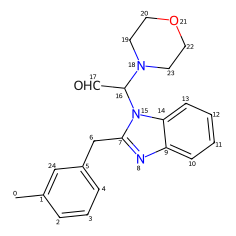 Cc1cccc(Cc2nc3ccccc3n2C(C=O)N2CCOCC2)c1